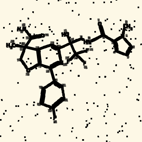 Cn1cccc1C(=O)NCC(O)(c1cc2c(c(-c3ccc(F)cc3)n1)OC[C@]2(C)C(N)=O)C(F)(F)F